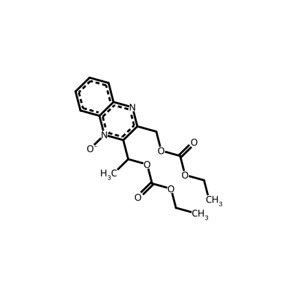 CCOC(=O)OCc1nc2ccccc2[n+]([O-])c1C(C)OC(=O)OCC